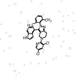 Cc1cccc(C)c1-n1nc2c(c1-c1cccc3[nH]ccc13)CN(c1ncc(Cl)cc1Cl)CC2